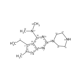 CCc1c(C)sc2nc(N3CCNCC3)nc(N(C)C)c12